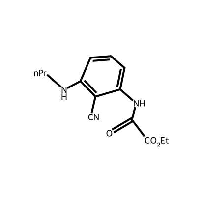 CCCNc1cccc(NC(=O)C(=O)OCC)c1C#N